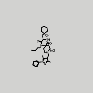 CCCCN1C(=O)[C@@H](CC2(O)CCCCC2)NC(=O)C12CCN(Cc1c(C)nn(-c3ccccc3)c1C)CC2.Cl